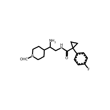 NC(CNC(=O)C1(c2ccc(F)cc2)CC1)C1CCN(C=O)CC1